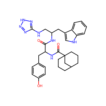 O=C(NC(CNc1nn[nH]n1)Cc1c[nH]c2ccccc12)C(Cc1ccc(O)cc1)NC(=O)C12CCCC(CCC1)C2